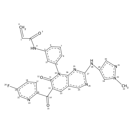 C=CC(=O)Nc1cccc(-n2c(=O)c(C(=O)c3ccc(F)cn3)cc3cnc(Nc4cnn(C)c4)nc32)c1